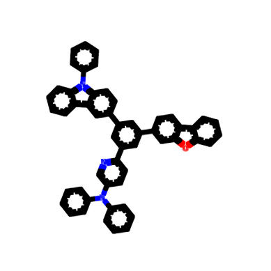 c1ccc(N(c2ccccc2)c2ccc(-c3cc(-c4ccc5c(c4)oc4ccccc45)cc(-c4ccc5c(c4)c4ccccc4n5-c4ccccc4)c3)nc2)cc1